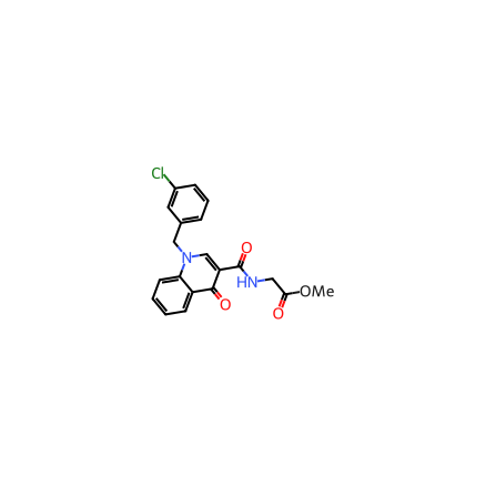 COC(=O)CNC(=O)c1cn(Cc2cccc(Cl)c2)c2ccccc2c1=O